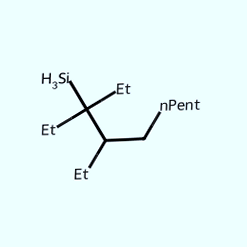 CCCCCCC(CC)C([SiH3])(CC)CC